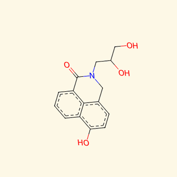 O=C1c2cccc3c(O)ccc(c23)CN1CC(O)CO